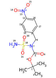 CC(C)(C)OC(=O)N(Cc1ccc([N+](=O)[O-])cc1)S(N)(=O)=O